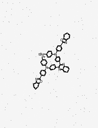 CC(C)c1ccc(N(c2ccc(-c3nc4ccccc4o3)cc2)c2ccc(-c3nc4ccccc4nc3-c3ccc(N(c4ccc(-c5nc6ccccc6o5)cc4)c4ccc(C(C)(C)C)cc4)cc3)cc2)cc1